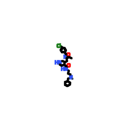 Cc1oc(-c2ccc(Cl)cc2)nc1CC1CNCCC1C(=O)NCCCN(C)Cc1ccccc1